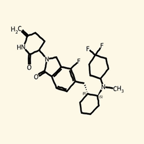 C=C1CCC(N2Cc3c(ccc(C[C@H]4CCCC[C@@H]4N(C)C4CCC(F)(F)CC4)c3F)C2=O)C(=O)N1